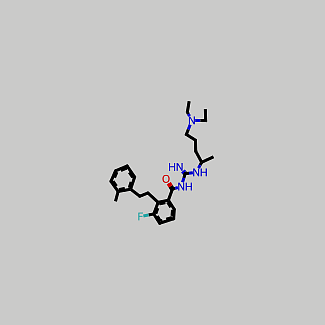 CCN(CC)CCCC(C)NC(=N)NC(=O)c1cccc(F)c1CCc1ccccc1C